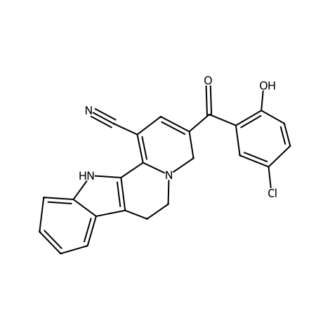 N#CC1=C2c3[nH]c4ccccc4c3CCN2CC(C(=O)c2cc(Cl)ccc2O)=C1